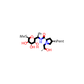 CCCCC[C@@H]1C[C@@H](C(=O)N[C@H](C(C)C)[C@H]2O[C@H](SC)[C@H](O)[C@@H](O)[C@H]2O)N(C[C@@H](C)O)C1